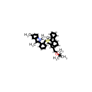 Cc1ccc2c(c1)c(C)c(-c1ccccc1CS(C)(CCCCCCOC(C)(C)C)C1c3ccccc3-c3ccccc31)n2C